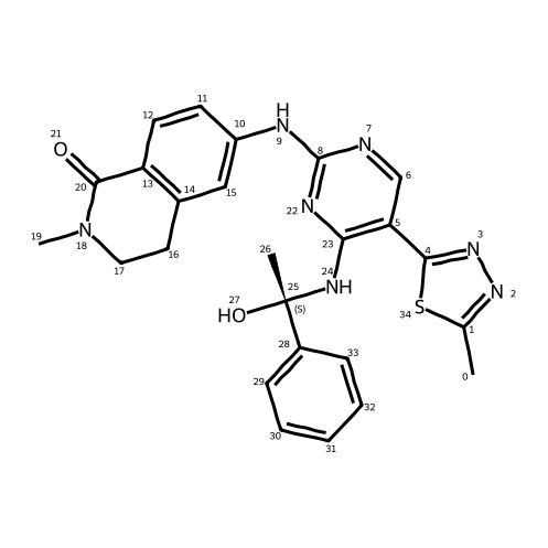 Cc1nnc(-c2cnc(Nc3ccc4c(c3)CCN(C)C4=O)nc2N[C@@](C)(O)c2ccccc2)s1